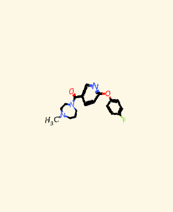 CN1CCCN(C(=O)c2ccc(Oc3ccc(F)cc3)nc2)CC1